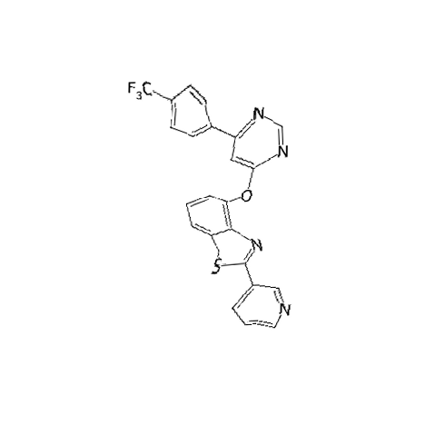 FC(F)(F)c1ccc(-c2cc(Oc3cccc4sc(-c5cccnc5)nc34)ncn2)cc1